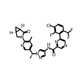 Cc1cc([C@H](C)n2cc(NC(=O)c3cncc(-c4c(C(F)F)ccc(Cl)c4F)n3)cn2)cnc1N1C[C@H]2C[C@H]2C1=O